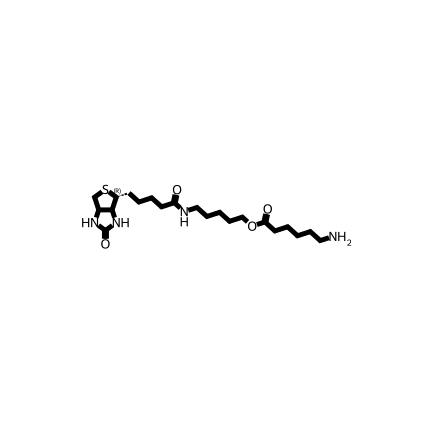 NCCCCCC(=O)OCCCCCNC(=O)CCCC[C@H]1SCC2NC(=O)NC21